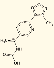 Cc1ncoc1-c1ccc([C@H](C)NC(=O)O)cn1